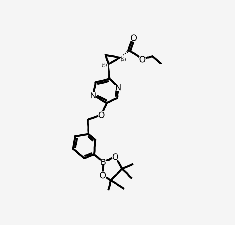 CCOC(=O)[C@H]1C[C@@H]1c1cnc(OCc2cccc(B3OC(C)(C)C(C)(C)O3)c2)cn1